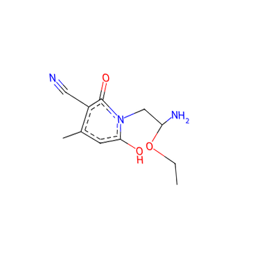 CCOC(N)Cn1c(O)cc(C)c(C#N)c1=O